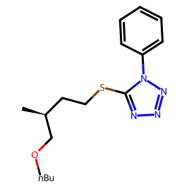 CCCCOC[C@@H](C)CCSc1nnnn1-c1ccccc1